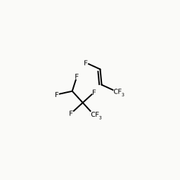 FC(F)C(F)(F)C(F)(F)F.FC=CC(F)(F)F